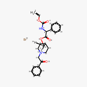 C=COC(=O)NC(C(=O)O[C@H]1C[N+]2(CC(=O)c3ccccc3)CCC1CC2)c1ccccc1.[Br-]